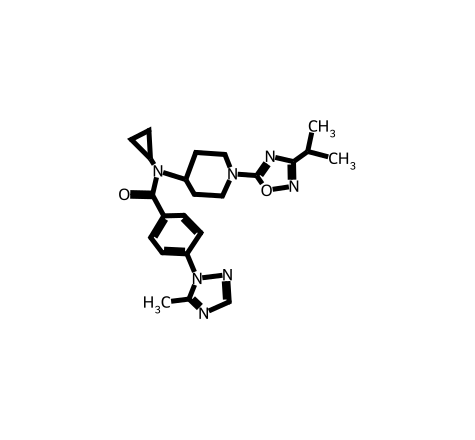 Cc1ncnn1-c1ccc(C(=O)N(C2CC2)C2CCN(c3nc(C(C)C)no3)CC2)cc1